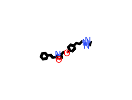 C(=Cc1nc(COc2ccc(CCCn3nccn3)cc2)co1)c1ccccc1